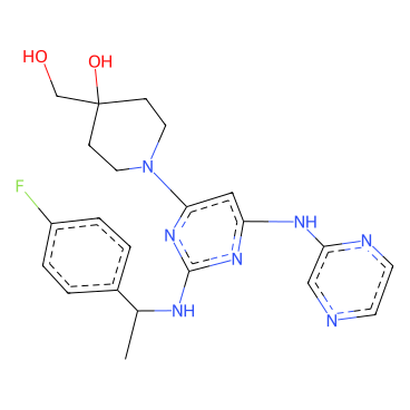 CC(Nc1nc(Nc2cnccn2)cc(N2CCC(O)(CO)CC2)n1)c1ccc(F)cc1